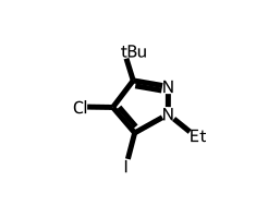 CCn1nc(C(C)(C)C)c(Cl)c1I